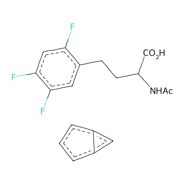 CC(=O)NC(CCc1cc(F)c(F)cc1F)C(=O)O.c1cc2cc-2c1